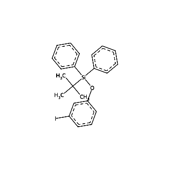 CC(C)(C)[Si](Oc1cccc(I)c1)(c1ccccc1)c1ccccc1